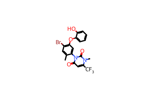 Cc1cc(Br)c(Oc2ccccc2O)cc1-n1c(=O)cc(C(F)(F)F)n(C)c1=O